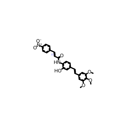 COc1cc(C=Cc2ccc(NC(=O)/C=C/c3ccc([N+](=O)[O-])cc3)c(O)c2)cc(OC)c1OC